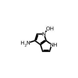 Nc1cn(O)c2[nH]ccc12